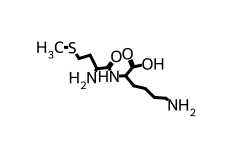 CSCCC(N)C(=O)NC(CCCCN)C(=O)O